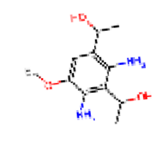 CCOc1cc(C(C)O)c(N)c(C(C)O)c1N